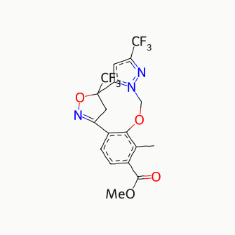 COC(=O)c1ccc2c(c1C)OCn1nc(C(F)(F)F)cc1C1(C(F)(F)F)CC2=NO1